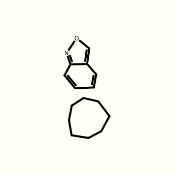 C1CCCCCCC1.c1ccc2nocc2c1